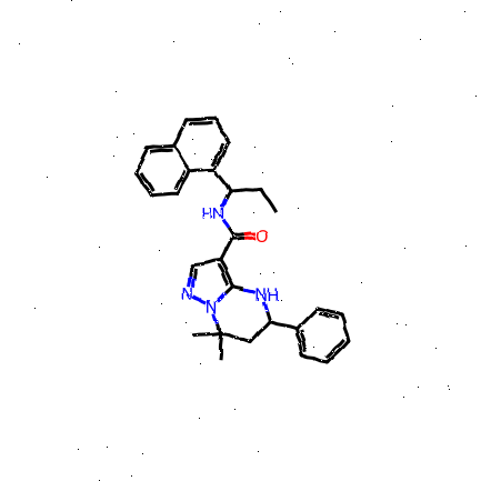 CCC(NC(=O)c1cnn2c1NC(c1ccccc1)CC2(C)C)c1cccc2ccccc12